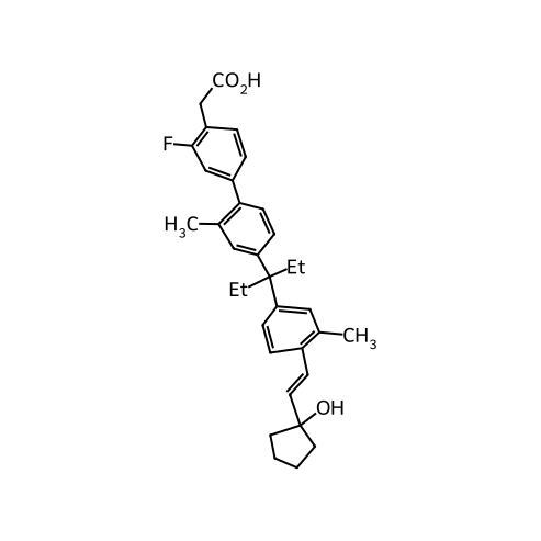 CCC(CC)(c1ccc(C=CC2(O)CCCC2)c(C)c1)c1ccc(-c2ccc(CC(=O)O)c(F)c2)c(C)c1